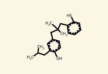 CC(C)Cc1cc(CC(C)(C)Cc2ccccc2S)ccc1O